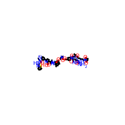 Cc1c(-c2ccc(-c3ccc4c(c3)N(C(=O)Nc3nc5ccccc5s3)CCN4C)nc2C(=O)O)cnn1CC12CC3(C)CC(C)(C1)CC(OCCN(C)C(=O)OCc1ccc(N(C(=O)[C@@H](NC(=O)CCCCCN4C(=O)C=CC4=O)C(C)C)[C@@H](CCCNC(N)=O)C(N)=O)cc1)(C3)C2